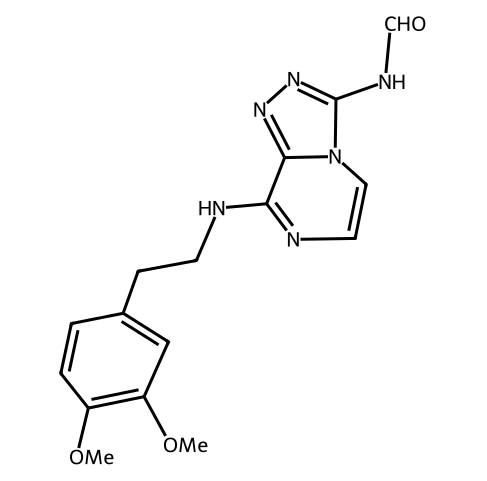 COc1ccc(CCNc2nccn3c(NC=O)nnc23)cc1OC